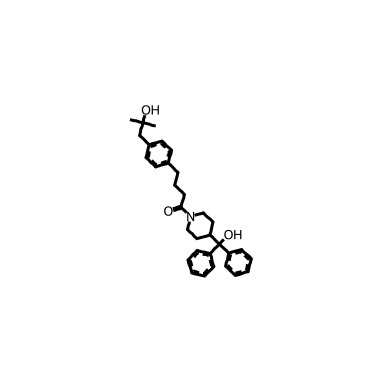 CC(C)(O)Cc1ccc(CCCC(=O)N2CCC(C(O)(c3ccccc3)c3ccccc3)CC2)cc1